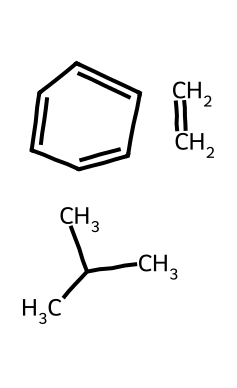 C=C.CC(C)C.c1ccccc1